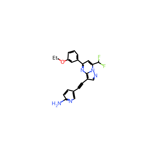 CCOc1cccc(-c2cc(C(F)F)n3ncc(C#Cc4ccc(N)nc4)c3n2)c1